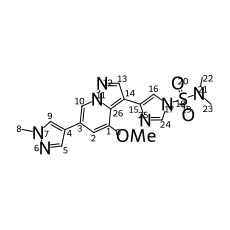 COc1cc(-c2cnn(C)c2)cn2ncc(-c3cn(S(=O)(=O)N(C)C)cn3)c12